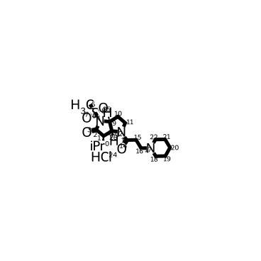 CC(C)[C@H]1C(=O)N(S(C)(=O)=O)[C@H]2CCN(C(=O)CCN3CCCCC3)[C@H]12.Cl